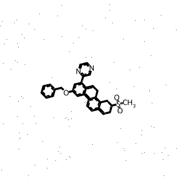 CS(=O)(=O)C1CC=c2ccc3c(c2C1)CC=c1c(-c2cnccn2)cc(OCc2ccccc2)cc1=3